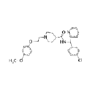 COc1ccc(OCCN2CCC(C(=O)N[C@@H](c3ccc(Cl)cc3)c3ccccn3)CC2)cc1